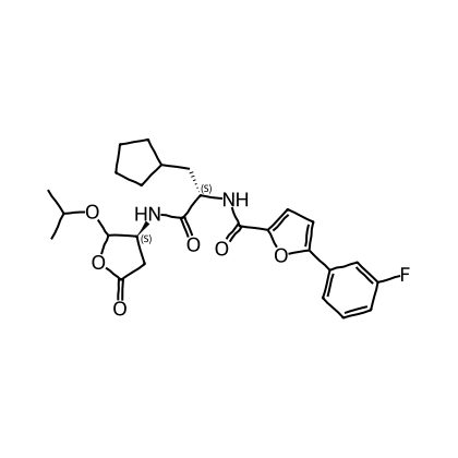 CC(C)OC1OC(=O)C[C@@H]1NC(=O)[C@H](CC1CCCC1)NC(=O)c1ccc(-c2cccc(F)c2)o1